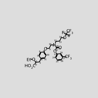 CCOC(Cc1ccc(OCCN(CCCOC(F)(F)C(F)(F)F)C(=O)Oc2cccc(C(F)(F)F)c2)cc1)C(=O)O